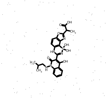 CC(C)CNn1c(=O)c(C2=NS(O)(O)c3c(ccc4oc(C(C)C(=O)O)nc34)N2)c(O)c2ccccc21